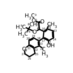 COC(=O)C(OC(C)(C)C)c1c(C)ccc(O)c1-c1ccc2c(c1C)CCCO2